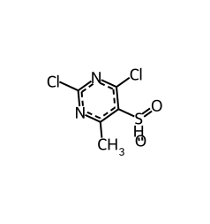 Cc1nc(Cl)nc(Cl)c1[SH](=O)=O